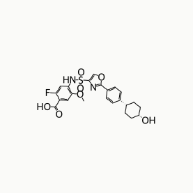 COc1cc(C(=O)O)c(F)cc1NS(=O)(=O)c1coc(-c2ccc([C@H]3CC[C@@H](O)CC3)cc2)n1